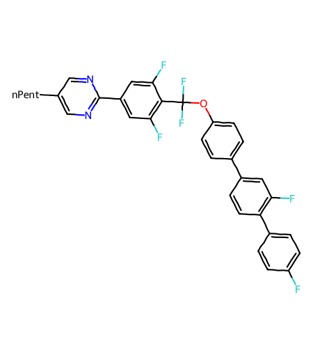 CCCCCc1cnc(-c2cc(F)c(C(F)(F)Oc3ccc(-c4ccc(-c5ccc(F)cc5)c(F)c4)cc3)c(F)c2)nc1